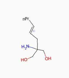 CCC/C=C/CC(N)(CO)CO